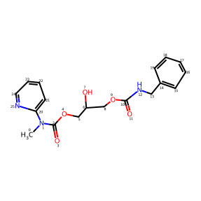 CN(C(=O)OCC(O)COC(=O)NCc1ccccc1)c1ccccn1